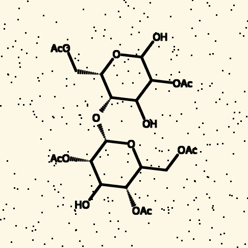 CC(=O)OCC1O[C@@H](O[C@H]2C(O)C(OC(C)=O)C(O)O[C@H]2COC(C)=O)[C@@H](OC(C)=O)C(O)[C@H]1OC(C)=O